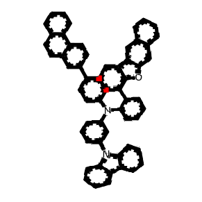 c1cc(N(c2ccc(-c3ccc4c(ccc5ccccc54)c3)cc2)c2ccccc2-c2cccc3c2oc2cc4ccccc4cc23)cc(-n2c3ccccc3c3ccccc32)c1